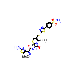 CON=C(C(=O)NC1C(=O)N2C(C(=O)O)=C(CSc3nnc(-c4ccc(S(N)(=O)=O)cc4)s3)CS[C@@H]12)c1csc(N)n1